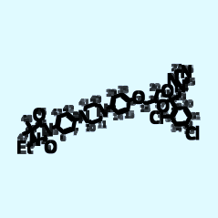 CCN1C(=O)N(c2ccc(N3CCN(c4ccc(OCC5COC(Cn6cncn6)(c6ccc(Cl)cc6Cl)O5)cc4)CC3)cc2)C(=O)C1(C)C